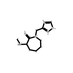 CNC1CCCCN(Cc2ncon2)C1=O